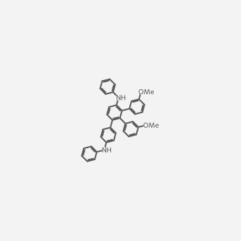 COc1cccc(-c2c(Nc3ccccc3)ccc(-c3ccc(Nc4ccccc4)cc3)c2-c2cccc(OC)c2)c1